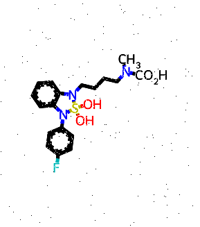 CN(CCCCN1c2ccccc2N(c2ccc(F)cc2)S1(O)O)C(=O)O